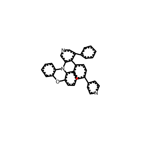 c1ccc(-c2cncc(N3c4ccccc4Oc4ccccc43)c2-c2ccc(-c3ccncc3)cc2)cc1